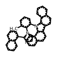 Cc1cccc(-n2c3c4ccccc4ccc3c3ccc4ccccc4c32)c1-n1ccnc1-c1cccc2ccccc12